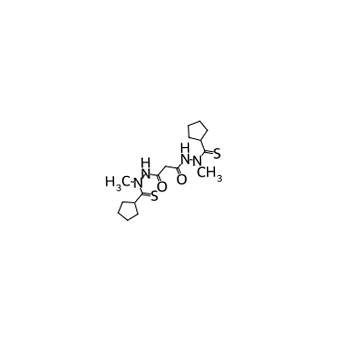 CN(NC(=O)CC(=O)NN(C)C(=S)C1CCCC1)C(=S)C1CCCC1